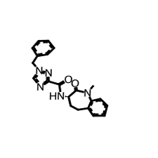 CN1C(=O)[C@@H](NC(=O)c2ncn(Cc3ccccc3)n2)CCc2ccccc21